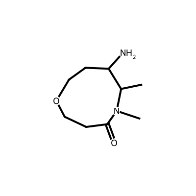 CC1C(N)CCOCCC(=O)N1C